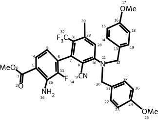 COC(=O)c1ccc(-c2c(C#N)c(N(Cc3ccc(OC)cc3)Cc3ccc(OC)cc3)cc(C)c2C(F)(F)F)c(F)c1N